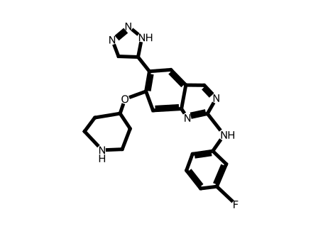 Fc1cccc(Nc2ncc3cc(C4CN=NN4)c(OC4CCNCC4)cc3n2)c1